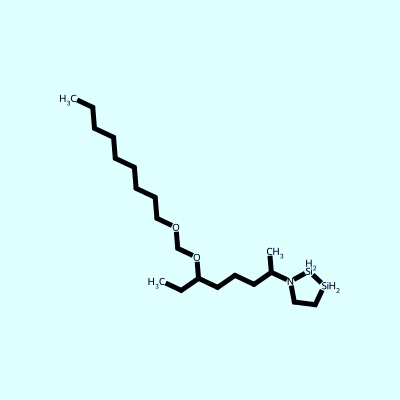 CCCCCCCCCOCOC(CC)CCCC(C)N1CC[SiH2][SiH2]1